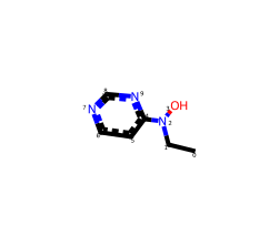 CCN(O)c1ccn[c]n1